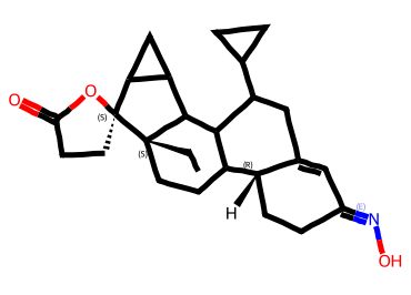 CC[C@]12CCC3C(C(C4CC4)CC4=C/C(=N/O)CC[C@@H]43)C1C1CC1[C@@]21CCC(=O)O1